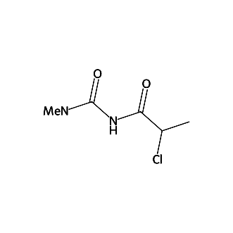 CNC(=O)NC(=O)C(C)Cl